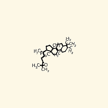 C[C@H](CCC1OC1(C)C)C1CC[C@@]2(C)C3=C(CC[C@]12C)[C@@]1(C)CC[C@H](C)C(C)(C)C1CC3